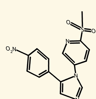 CS(=O)(=O)c1ccc(-n2cncc2-c2ccc([N+](=O)[O-])cc2)cn1